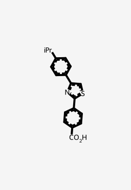 CC(C)c1ccc(-c2csc(-c3ccc(C(=O)O)cc3)n2)cc1